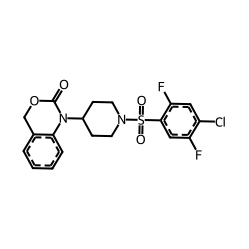 O=C1OCc2ccccc2N1C1CCN(S(=O)(=O)c2cc(F)c(Cl)cc2F)CC1